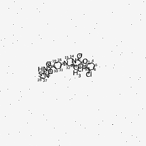 CC(Oc1cccc(Cl)c1Cl)C(=O)N1CCN(c2ccc(S(=O)(=O)Nc3nccs3)cc2)C[C@@H]1C